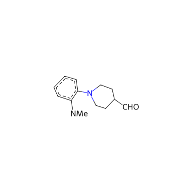 CNc1ccccc1N1CCC(C=O)CC1